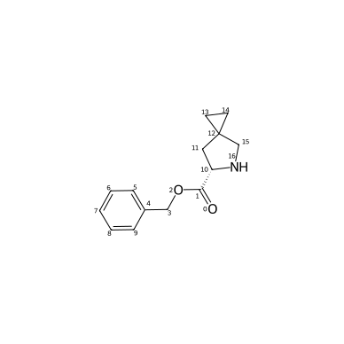 O=C(OCc1ccccc1)[C@@H]1CC2(CC2)CN1